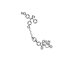 CCC(=C(c1ccc(O)cc1)c1ccc(OCCCCCCN2CCN(c3ccc4c(c3)C(=O)N(C3CCC(=O)NC3=O)C4=O)CC2)cc1)c1ccccc1